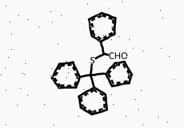 O=CC(SC(c1ccccc1)(c1ccccc1)c1ccccc1)c1ccccc1